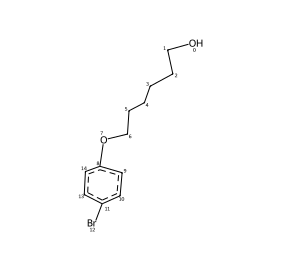 OCCCCCCOc1ccc(Br)cc1